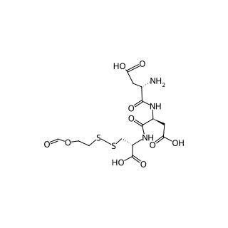 N[C@@H](CC(=O)O)C(=O)N[C@@H](CC(=O)O)C(=O)N[C@@H](CSSCCOC=O)C(=O)O